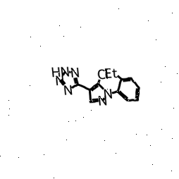 CCc1ccccc1-n1ncc(-c2nn[nH]n2)c1Cl